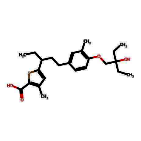 CCC(CCc1ccc(OCC(O)(CC)CC)c(C)c1)c1cc(C)c(C(=O)O)s1